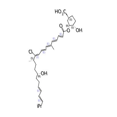 CC(/C=C/C=C/C(=O)O[C@@H]1C[C@@H](C(=O)O)CC[C@@H]1O)=C\C=C\C=C(/Cl)[C@@H](C)CC[C@H](O)CC/C=C/C=C/C(C)C